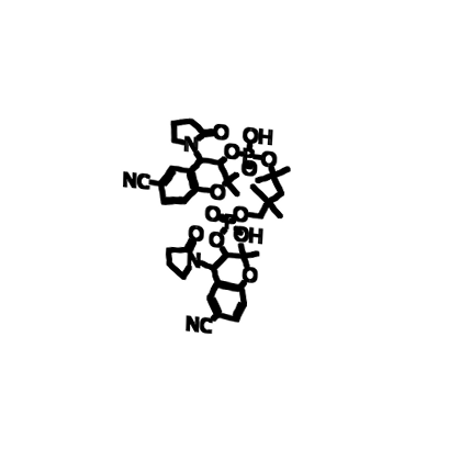 CC(C)(COP(=O)(O)OC1C(N2CCCC2=O)c2cc(C#N)ccc2OC1(C)C)CC(C)(C)OP(=O)(O)OC1C(N2CCCC2=O)c2cc(C#N)ccc2OC1(C)C